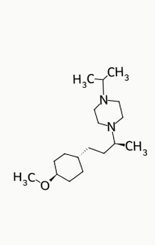 CO[C@H]1CC[C@H](CC[C@H](C)N2CCN(C(C)C)CC2)CC1